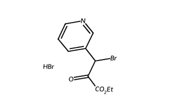 Br.CCOC(=O)C(=O)C(Br)c1cccnc1